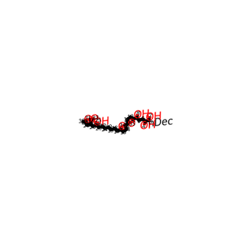 CCCCCCCCCCC(O)C(O)CCC(O)C1CCC(C2CCC(CCCCCCCC(O)CC3=CC(C)OC3=O)O2)O1